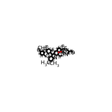 COc1ccc(CO[C@H]2CC(C)(C)Cc3nc(C4CCN(c5ncc(C=O)cn5)CC4)c(C(F)c4ccc(C(F)(F)F)cc4)c(C4CCC(F)(F)CC4)c32)cc1